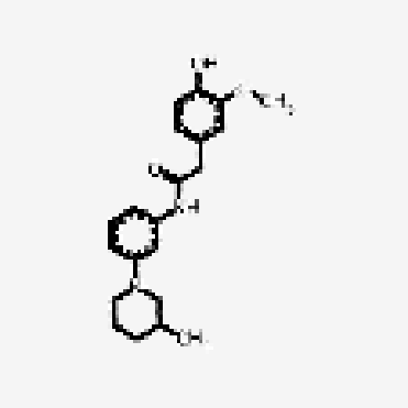 COc1cc(CC(=O)Nc2cccc(N3CCCC(C)C3)c2)ccc1O